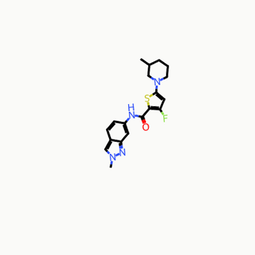 CC1CCCN(c2cc(F)c(C(=O)Nc3ccc4cn(C)nc4c3)s2)C1